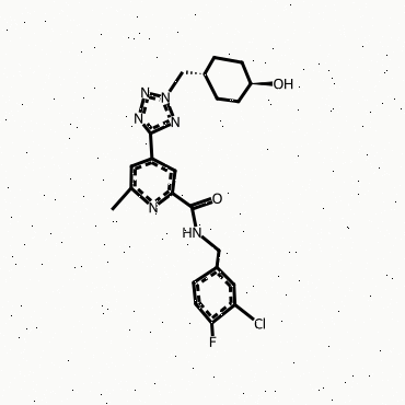 Cc1cc(-c2nnn(C[C@H]3CC[C@H](O)CC3)n2)cc(C(=O)NCc2ccc(F)c(Cl)c2)n1